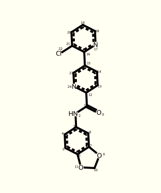 O=C(Nc1ccc2c(c1)OCO2)c1ccc(-c2ncccc2Cl)cn1